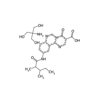 CCC(C)C(C)C(=O)Nc1ccc2ncn3c(=O)c(C(=O)O)cnc3c2c1.NC(CO)(CO)CO